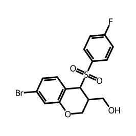 O=S(=O)(c1ccc(F)cc1)C1c2ccc(Br)cc2OCC1CO